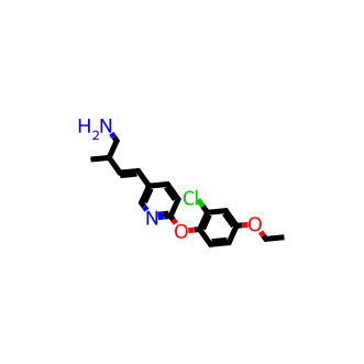 CCOc1ccc(Oc2ccc(/C=C/C(C)CN)cn2)c(Cl)c1